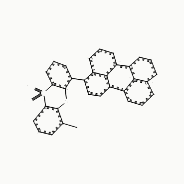 Cc1cccc2c1Nc1c(-c3ccc4c5cccc6cccc(c7cccc3c74)c65)cccc1S2(=O)=O